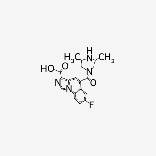 CC1CN(C(=O)c2cc3c(C(=O)O)ncn3c3ccc(F)cc23)CC(C)N1